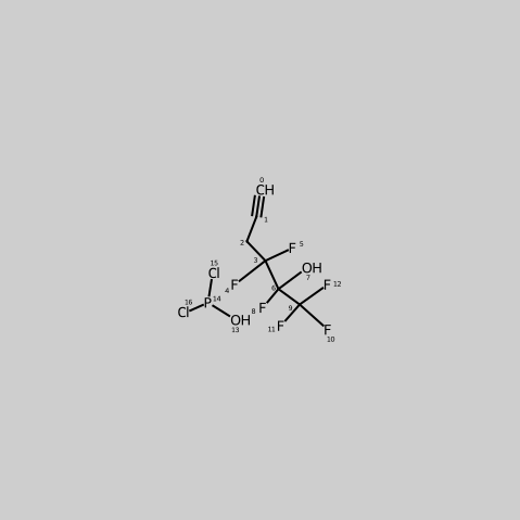 C#CCC(F)(F)C(O)(F)C(F)(F)F.OP(Cl)Cl